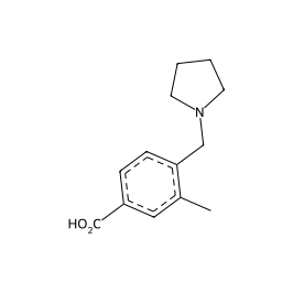 Cc1cc(C(=O)O)ccc1CN1CCCC1